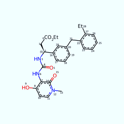 CCOC(=O)C[C@H](NC(=O)Nc1c(O)ccn(C)c1=O)c1cccc(Cc2ccccc2CC)c1